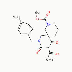 COC(=O)C1C(=O)N(Cc2ccc(OC)cc2)CC2(CCCN(C(=O)OC(C)(C)C)C2)C1=O